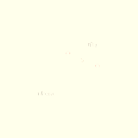 CCCCCCCS(=O)(=O)C(C)(C)C